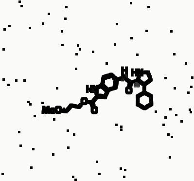 COCCCOC(=O)c1cc2cc(NC(=O)[C@H]3NCCC3C3CCCCC3)ccc2[nH]1